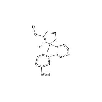 CCCCCc1cccc(-c2ccccc2C2(F)CC=CC(OCC)=C2F)c1